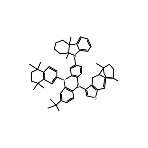 CC12CCC(C)(CC1)C1Cc3c(B4c5ccc(N6c7ccccc7C7(C)CCCCC67C)cc5N(c5ccc6c(c5)C(C)(C)CCC6(C)C)c5cc(C(C)(C)C)ccc54)csc3C=C12